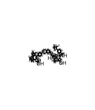 Cc1ncsc1-c1ccc(C(C)NC(=O)[C@@H]2C[C@@H](O)CN2C(=O)C(NC(=O)COc2ccc3c(c2)CN(c2ccc(C4=N[C@@H](CC(=O)O)c5nnc(C)n5-c5sc(C)c(C)c54)cc2)CC3)C(C)(C)C)cc1